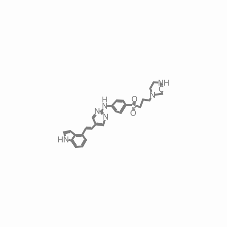 O=S(=O)(CCCN1CCNCC1)c1ccc(Nc2ncc(C=Cc3cccc4[nH]ccc34)cn2)cc1